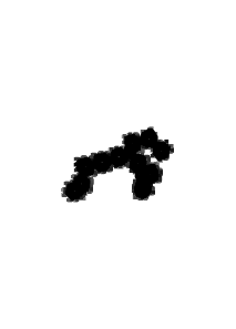 c1ccc(-c2cccc(-c3cccc(N(c4ccc(-c5ccc(-c6cccc(-c7ccc8ccccc8c7)c6)cc5)cc4)c4ccc(-c5cccc6c5sc5ccccc56)cc4)c3)c2)cc1